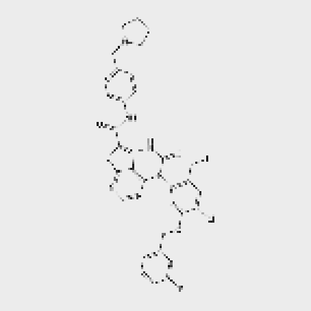 O=C(Nc1ccc(CN2CCCC2)cc1)c1sc2ncnc3c2c1NC(=O)N3c1cc(OCc2cccc(F)c2)c(Cl)cc1CI